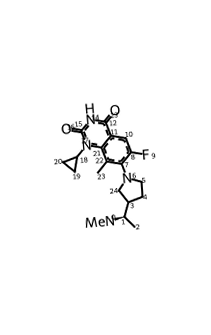 CN[C@H](C)C1CCN(c2c(F)cc3c(=O)[nH]c(=O)n(C4CC4)c3c2C)C1